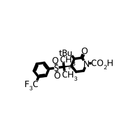 CC(C)(C)C1C(=O)N(C(=O)O)CC[C@H]1C(C)(C)S(=O)(=O)c1cccc(C(F)(F)F)c1